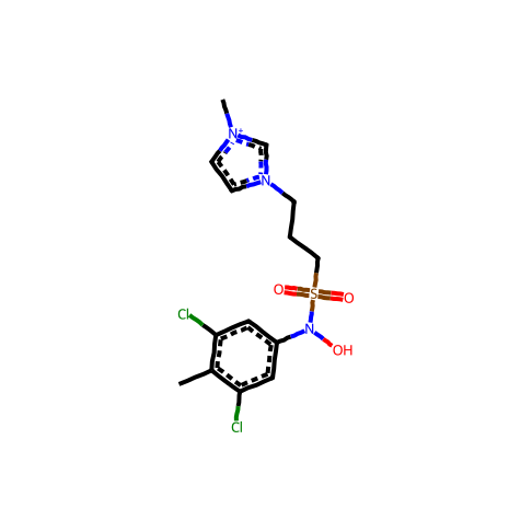 Cc1c(Cl)cc(N(O)S(=O)(=O)CCCn2cc[n+](C)c2)cc1Cl